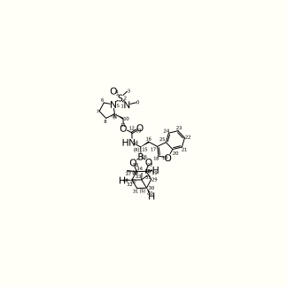 CN=S(C)(=O)N1CCC[C@@H]1COC(=O)N[C@@H](Cc1coc2ccccc12)B1O[C@@H]2C[C@@H]3C[C@@H](C3(C)C)[C@]2(C)O1